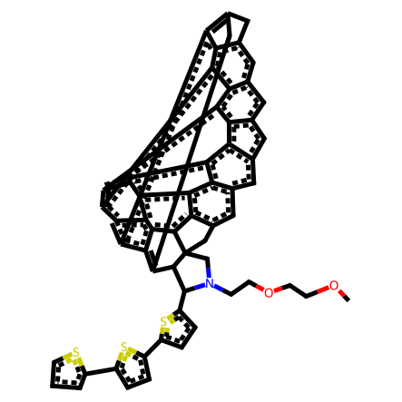 COCCOCCN1CC23Cc4cc5cc6cc7cc8cc9c%10c%11c%12c(c%13c2c4c2c5c4c6c7c5c8c%10c6c%12c%13c2c4c56)=C(CC=%11C9)C3C1c1ccc(-c2ccc(-c3cccs3)s2)s1